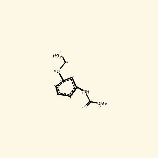 COC(=O)Nc1cccc(OCC(=O)O)c1